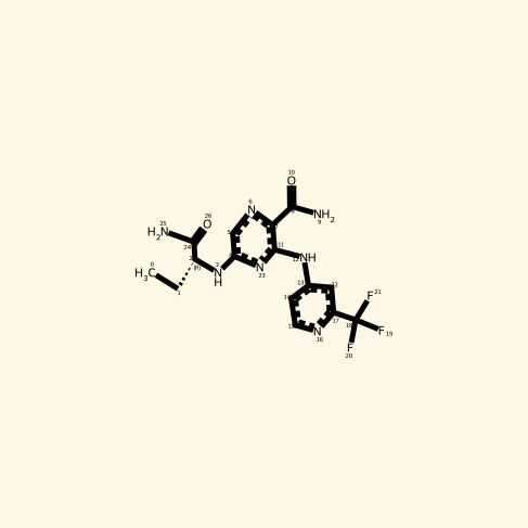 CC[C@@H](Nc1cnc(C(N)=O)c(Nc2ccnc(C(F)(F)F)c2)n1)C(N)=O